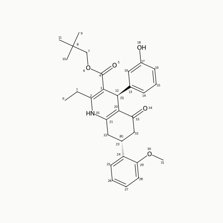 CCC1=C(C(=O)OCC(C)(C)C)[C@@H](c2cccc(O)c2)C2=C(C[C@@H](c3ccccc3OC)CC2=O)N1